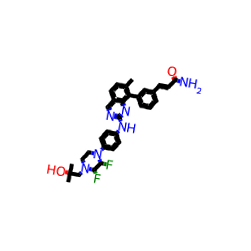 Cc1ccc2cnc(Nc3ccc(N4CCN(CC(C)(C)O)C(F)C4F)cc3)nc2c1-c1cccc(C=CC(N)=O)c1